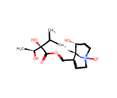 CC(C)[C@](O)(C(=O)OCC1=CC[N+]2([O-])CC[C@@H](O)[C@@H]12)[C@H](C)O